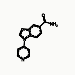 NC(=O)c1ccc2c(ccn2-c2ccncc2)c1